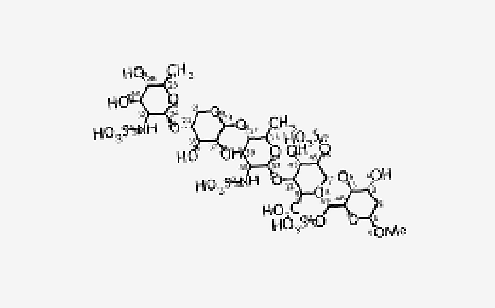 CO[C@@H]1C[C@@H](O)[C@H](O[C@@H]2OC(C(=O)O)[C@@H](O[C@@H]3OC(C)[C@@H](O[C@@H]4OC[C@@H](O[C@@H]5OC(C)[C@@H](O)[C@H](O)C5NS(=O)(=O)O)[C@H](O)C4O)CC3NS(=O)(=O)O)[C@H](O)C2OS(=O)(=O)O)C(COS(=O)(=O)O)O1